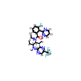 CCC(C(CC)N(C)c1cnc(C(F)(F)F)cn1)N(CC)C(=O)c1cccc(F)c1-c1ncccn1